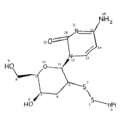 CCCSSC1C[C@@H](O)[C@@H](CO)O[C@H]1n1ccc(N)nc1=O